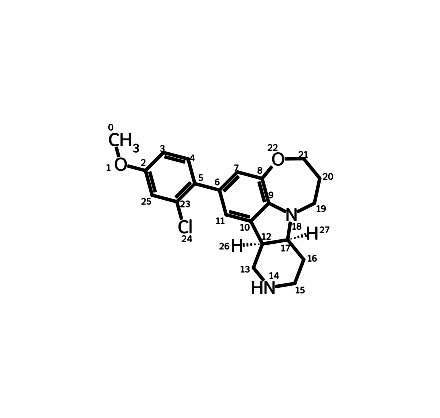 COc1ccc(-c2cc3c4c(c2)[C@@H]2CNCC[C@@H]2N4CCCO3)c(Cl)c1